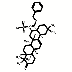 CC[Si](CC)(CC)O[C@@H]1C[C@]2(C)C(=CC[C@@H]3[C@@]4(C)CCC(=O)C(C)(C)[C@@H]4CC[C@]32C)[C@@H]2CC(C)(C)CC[C@]12C(=O)OCc1ccccc1